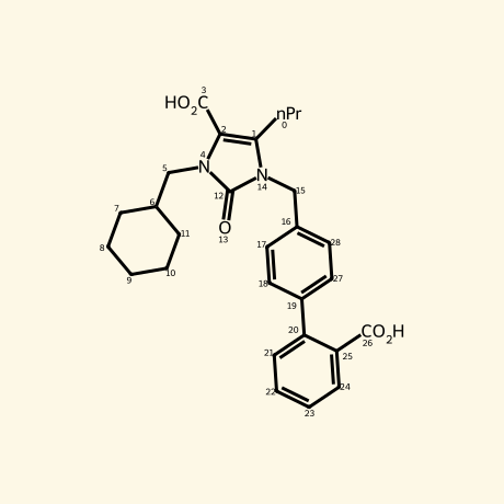 CCCc1c(C(=O)O)n(CC2CCCCC2)c(=O)n1Cc1ccc(-c2ccccc2C(=O)O)cc1